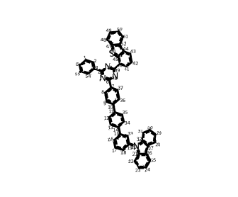 c1ccc(-c2nc(-c3ccc(-c4ccc(-c5cccc(-n6c7ccccc7c7ccccc76)c5)cc4)cc3)nc(-c3cccc4c3sc3ccccc34)n2)cc1